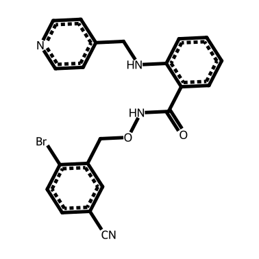 N#Cc1ccc(Br)c(CONC(=O)c2ccccc2NCc2ccncc2)c1